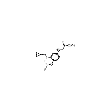 COC(=O)CNc1ccc(OC(F)F)c(OCC2CC2)c1